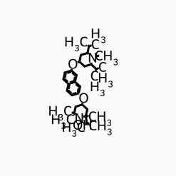 CC(C)C1CC(Oc2ccc3ccc(OC4CC(C)(C)N(O)C(C)(C(C)C)C4)cc3c2)CC(C(C)C)N1C